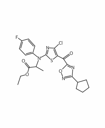 CCOC(=O)C(C)N(c1ccc(F)cc1)c1nc(Cl)c(C(=O)c2nc(C3CCCC3)no2)s1